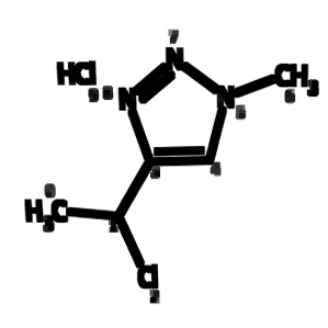 CC(Cl)c1cn(C)nn1.Cl